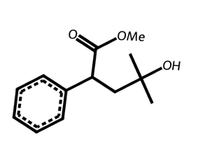 COC(=O)C(CC(C)(C)O)c1ccccc1